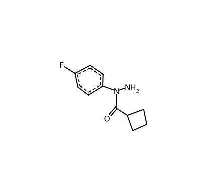 NN(C(=O)C1CCC1)c1ccc(F)cc1